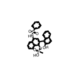 CP(=O)(O)Oc1c(-c2c(O)ccc3ccccc23)cc(NS(=O)(=O)c2ccccc2)c2ccccc12